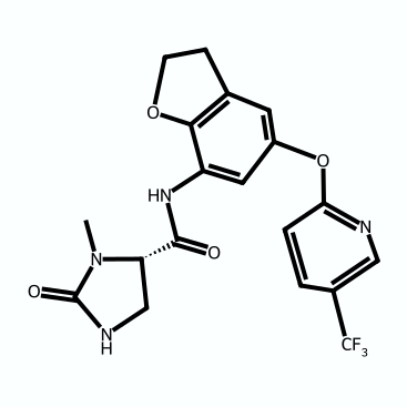 CN1C(=O)NC[C@H]1C(=O)Nc1cc(Oc2ccc(C(F)(F)F)cn2)cc2c1OCC2